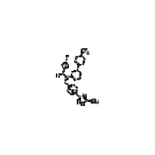 CC(C)(C)c1nc(C23CCC(CN(C(=O)C45CC(F)(C4)C5)c4cccc(-c5ccc(C(F)(F)F)cc5)c4)(CC2)CC3)no1